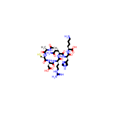 CC(=O)N[C@@H](C)C(=O)N[C@@H](CS)C(=O)N[C@@H](CC(=O)O)C(=O)N[C@@H](CCCNC(=N)N)C(=O)N[C@@H](CCC(N)=O)C(=O)N[C@@H](Cc1c[nH]cn1)C(=O)N[C@@H](CCCCN)C(=O)O